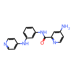 Nc1ccnc(C(=O)Nc2cccc(Nc3ccncc3)c2)c1